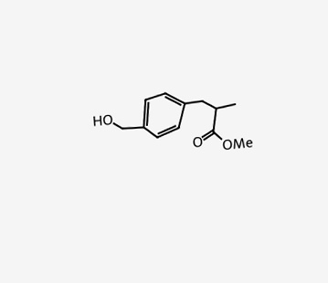 COC(=O)C(C)Cc1ccc(CO)cc1